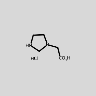 Cl.O=C(O)CN1CCNC1